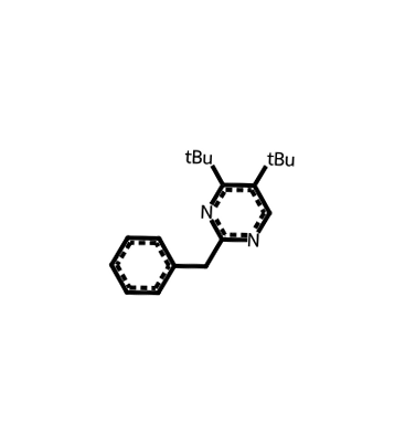 CC(C)(C)c1cnc(Cc2ccccc2)nc1C(C)(C)C